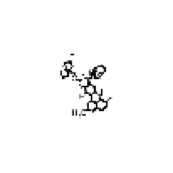 Cc1cc(-c2c(Cl)cc3c(N4CC5CCC(C4)N5)nc(OC[C@@]45CCCN4C[C@H](F)C5)nc3c2F)c2c(Cl)c(F)ccc2c1